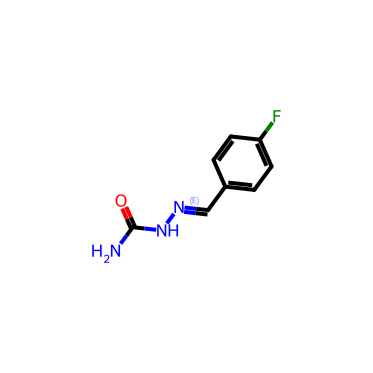 NC(=O)N/N=C/c1ccc(F)cc1